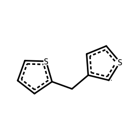 [c]1sccc1Cc1cccs1